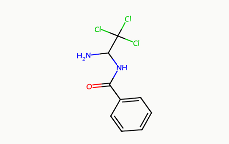 NC(NC(=O)c1ccccc1)C(Cl)(Cl)Cl